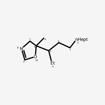 CCCCCCCCCC(CC)C1(C)CN=CO1